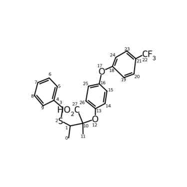 CC(SCc1ccccc1)C(C)(Oc1ccc(Oc2ccc(C(F)(F)F)cc2)cc1)C(=O)O